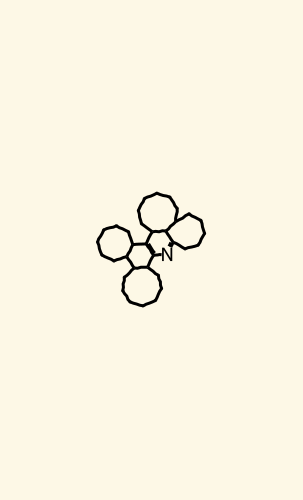 C1CCCC2C3=C(C4CCCCCCC4C2CCC1)C1CCCCCCC2CCCCCC(=N3)C21